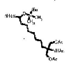 CCCCCCC(CCCCCCCC(COC(C)=O)(COC(C)=O)NC(C)=O)O[Si](C)(C)C(C)(C)C